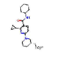 O=C(O)C[C@@H]1CCCN(c2ccc(C(=O)NC3CCCCC3)c(C3CC3)n2)C1